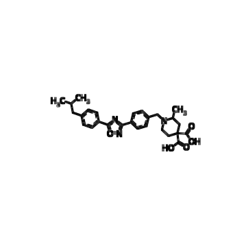 CC(C)Cc1ccc(-c2nc(-c3ccc(CN4CCC(C(=O)O)(C(=O)O)CC4C)cc3)no2)cc1